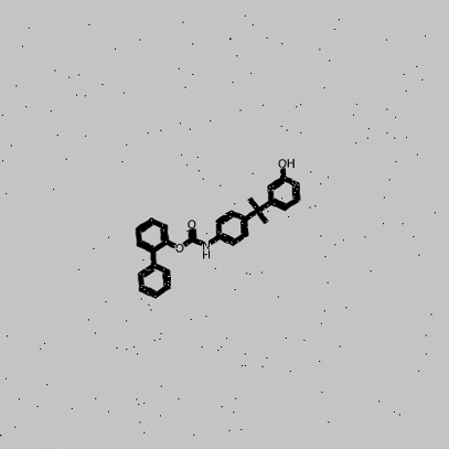 CC(C)(c1ccc(NC(=O)Oc2ccccc2-c2ccccc2)cc1)c1cccc(O)c1